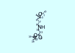 CCO[Si](C)(C)CCCNCCC(=O)O[Si](C)(C)C